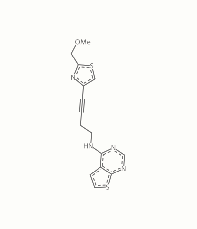 COCc1nc(C#CCCNc2ncnc3sccc23)cs1